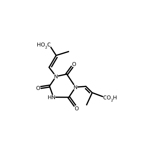 CC(=Cn1c(=O)[nH]c(=O)n(C=C(C)C(=O)O)c1=O)C(=O)O